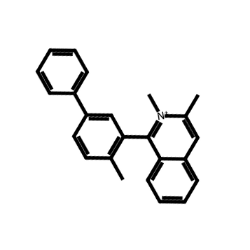 Cc1ccc(-c2ccccc2)cc1-c1c2ccccc2cc(C)[n+]1C